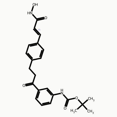 CC(C)(C)OC(=O)Nc1cccc(C(=O)CCc2ccc(/C=C/C(=O)NO)cc2)c1